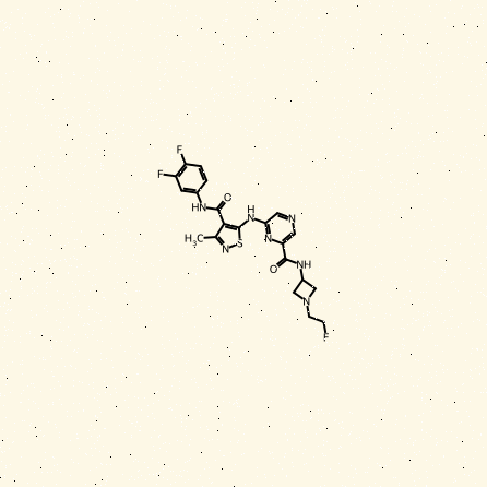 Cc1nsc(Nc2cncc(C(=O)NC3CN(CCF)C3)n2)c1C(=O)Nc1ccc(F)c(F)c1